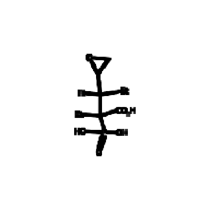 CCC(CC)(C1CO1)C(CC)(C(=O)O)P(=O)(O)O